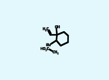 C=CC1(O)CCCCC1C(C)CC.CC(=O)O